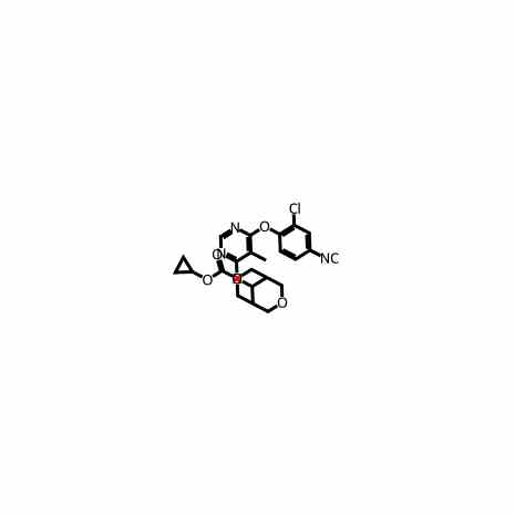 [C-]#[N+]c1ccc(Oc2ncnc(OC3C4COCC3CN(C(=O)OC3CC3)C4)c2C)c(Cl)c1